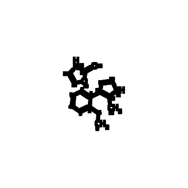 CCc1ccccc1-c1cc[nH]c1C.O=c1[nH]cco1